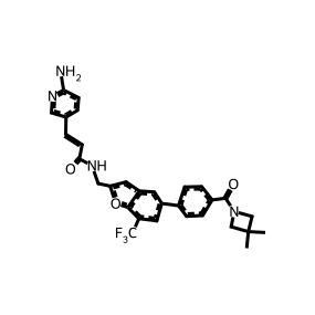 CC1(C)CN(C(=O)c2ccc(-c3cc(C(F)(F)F)c4oc(CNC(=O)C=Cc5ccc(N)nc5)cc4c3)cc2)C1